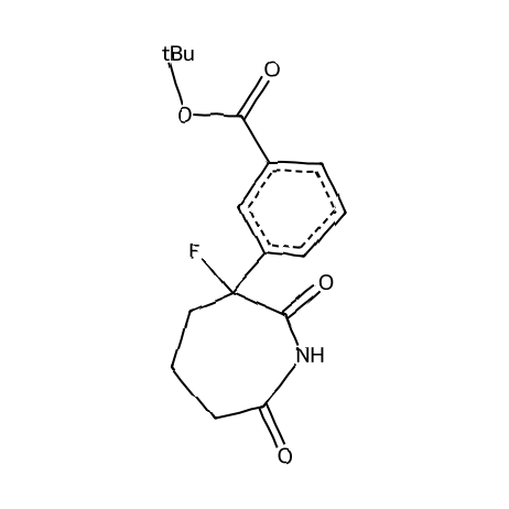 CC(C)(C)OC(=O)c1cccc(C2(F)CCCC(=O)NC2=O)c1